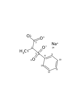 CC(C(=O)[O-])S(=O)(=O)c1ccccc1.[Na+]